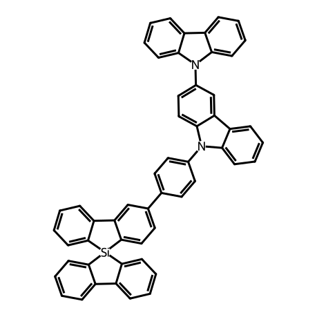 c1ccc2c(c1)-c1ccccc1[Si]21c2ccccc2-c2cc(-c3ccc(-n4c5ccccc5c5cc(-n6c7ccccc7c7ccccc76)ccc54)cc3)ccc21